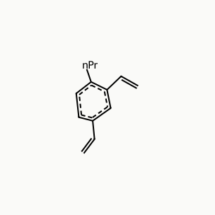 C=Cc1ccc(CCC)c(C=C)c1